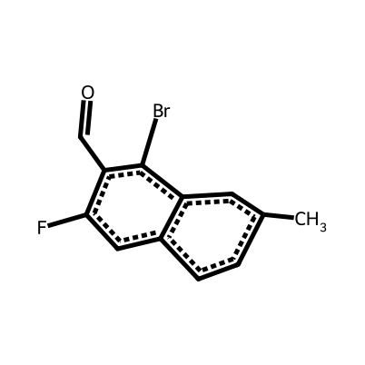 Cc1ccc2cc(F)c(C=O)c(Br)c2c1